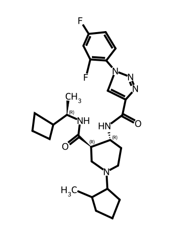 CC1CCCC1N1CC[C@@H](NC(=O)c2cn(-c3ccc(F)cc3F)nn2)[C@H](C(=O)N[C@H](C)C2CCC2)C1